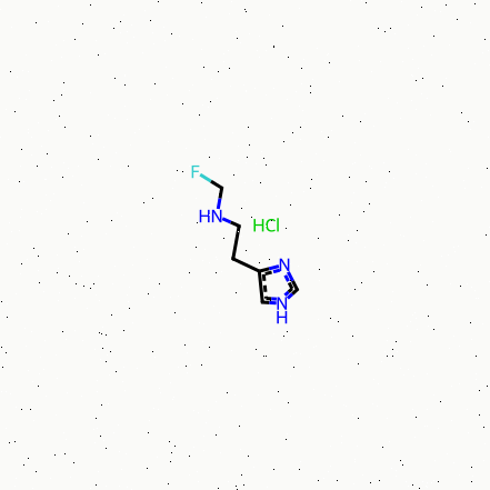 Cl.FCNCCc1c[nH]cn1